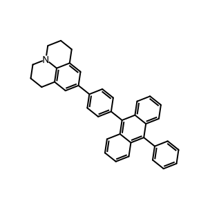 c1ccc(-c2c3ccccc3c(-c3ccc(-c4cc5c6c(c4)CCCN6CCC5)cc3)c3ccccc23)cc1